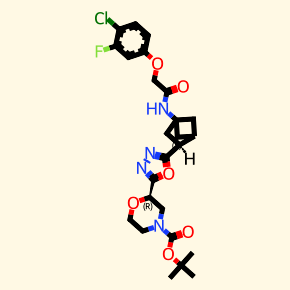 CC(C)(C)OC(=O)N1CCO[C@@H](c2nnc([C@H]3CC4(NC(=O)COc5ccc(Cl)c(F)c5)CC3C4)o2)C1